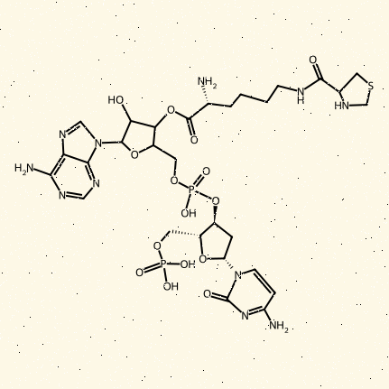 Nc1ccn([C@H]2C[C@H](OP(=O)(O)OCC3OC(n4cnc5c(N)ncnc54)C(O)C3OC(=O)[C@H](N)CCCCNC(=O)C3CSCN3)[C@@H](COP(=O)(O)O)O2)c(=O)n1